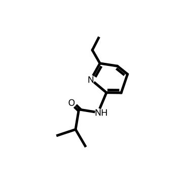 CCc1cccc(NC(=O)C(C)C)n1